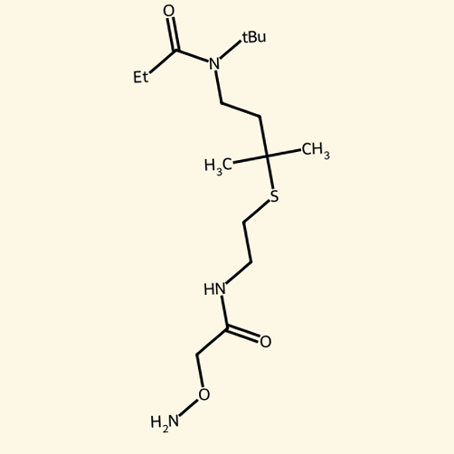 CCC(=O)N(CCC(C)(C)SCCNC(=O)CON)C(C)(C)C